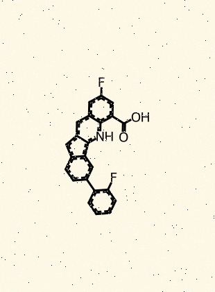 O=C(O)c1cc(F)cc2cc3cc4ccc(-c5ccccc5F)cc4c-3[nH]c12